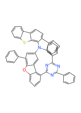 c1ccc(-c2nc(-c3ccccc3)nc(-c3cccc4oc5c(-c6ccccc6)cc(-n6c7ccccc7c7ccc8c9ccccc9sc8c76)cc5c34)n2)cc1